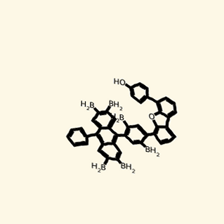 Bc1cc2c(-c3ccccc3)c3cc(B)c(B)cc3c(-c3cc(B)c(-c4cccc5c4oc4c(-c6ccc(O)cc6)cccc45)cc3B)c2cc1B